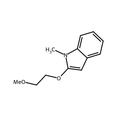 COCCOc1cc2ccccc2n1C